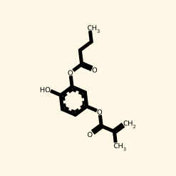 C=C(C)C(=O)Oc1ccc(O)c(OC(=O)CCC)c1